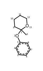 CC1(Oc2ccccc2)CCCCO1